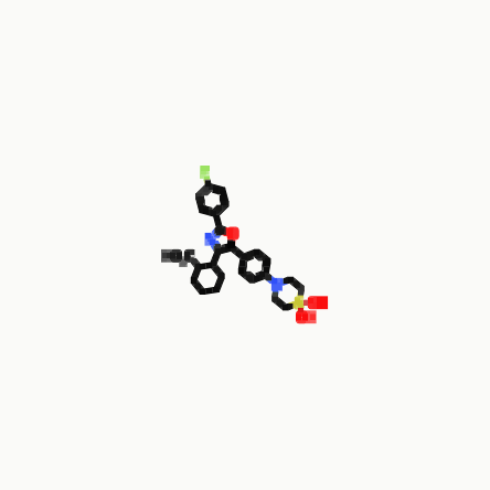 O=C(O)C1CCCCC1c1nc(-c2ccc(F)cc2)oc1-c1ccc(N2CCS(O)(O)CC2)cc1